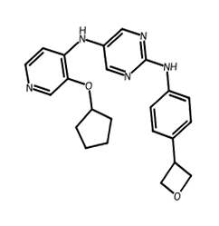 c1cc(Nc2cnc(Nc3ccc(C4COC4)cc3)nc2)c(OC2CCCC2)cn1